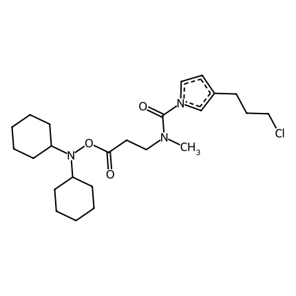 CN(CCC(=O)ON(C1CCCCC1)C1CCCCC1)C(=O)n1ccc(CCCCl)c1